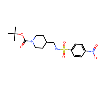 CC(C)(C)OC(=O)N1CCC(CNS(=O)(=O)c2ccc([N+](=O)[O-])cc2)CC1